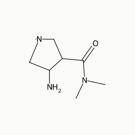 CN(C)C(=O)C1C[N]CC1N